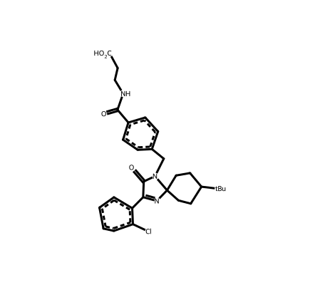 CC(C)(C)C1CCC2(CC1)N=C(c1ccccc1Cl)C(=O)N2Cc1ccc(C(=O)NCCC(=O)O)cc1